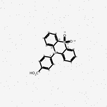 O=C(O)c1ccc([S+]2c3ccccc3S(=O)(=O)c3ccccc32)cc1